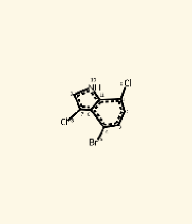 Clc1ccc(Br)c2c(Cl)c[nH]c12